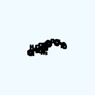 CC(C)(SCc1ccccn1)[C@@H](NS(=O)(=O)c1ccc(Oc2ccc(-c3ccoc3)cc2)cc1)C(=O)O